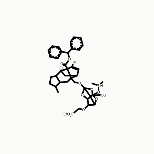 CCOC(=O)COC1C2OC3(O[SiH](C)C)OC(OCC45CC6C(C)CCC6C6(C=O)CC4C=C(C(C)C)C65C(=O)OC(c4ccccc4)c4ccccc4)(OC13)C2C(C)(C)C